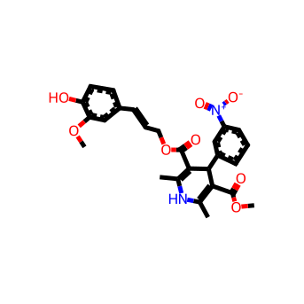 COC(=O)C1=C(C)NC(C)=C(C(=O)OC/C=C/c2ccc(O)c(OC)c2)C1c1cccc([N+](=O)[O-])c1